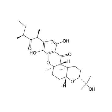 CC[C@H](C)C(=O)[C@@H](C)c1cc(O)c2c(c1O)O[C@]1(C)CC[C@H]3O[C@@H](C(C)(C)O)CC[C@]3(C)[C@H]1C2=O